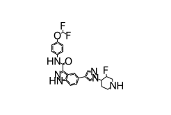 O=C(Nc1ccc(OC(F)F)cc1)c1n[nH]c2ccc(-c3cnn(C4CCNCC4F)c3)cc12